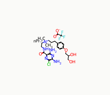 CCC[C@@H](CNC(=O)c1nc(Cl)c(N)nc1N)[N+](C)(C)CCCc1ccc(OCC(O)CO)cc1.O=C([O-])C(F)(F)F